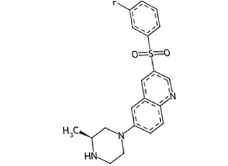 C[C@H]1CN(c2ccc3ncc(S(=O)(=O)c4cccc(F)c4)cc3c2)CCN1